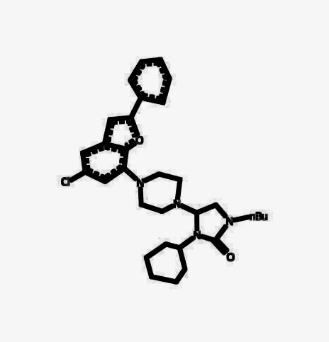 CCCCN1CC(N2CCN(c3cc(Cl)cc4cc(-c5ccccc5)oc34)CC2)N(C2CCCCC2)C1=O